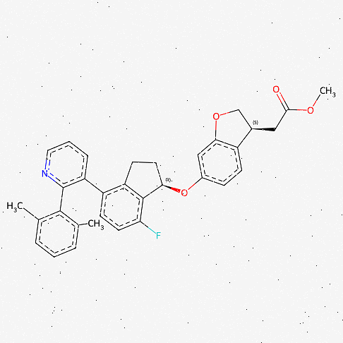 COC(=O)C[C@@H]1COc2cc(O[C@@H]3CCc4c(-c5cccnc5-c5c(C)cccc5C)ccc(F)c43)ccc21